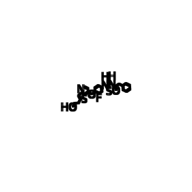 O=C(Cc1ccccc1)NC(=S)Nc1ccc(Oc2ccnc3cc(CCO)sc23)c(F)c1